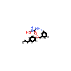 NC(=O)NO.[K][CH2]Cc1ccc(OCc2ccccc2)cc1